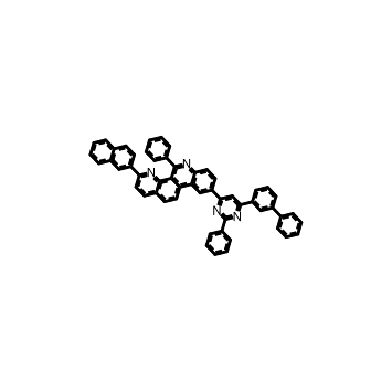 c1ccc(-c2cccc(-c3cc(-c4ccc5nc(-c6ccccc6)c6c(ccc7ccc(-c8ccc9ccccc9c8)nc76)c5c4)nc(-c4ccccc4)n3)c2)cc1